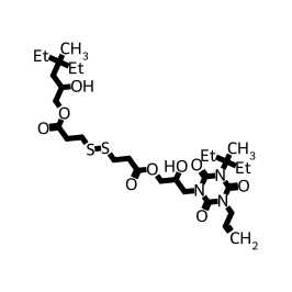 C=CCn1c(=O)n(CC(O)COC(=O)CCSSCCC(=O)OCC(O)CC(C)(CC)CC)c(=O)n(C(C)(CC)CC)c1=O